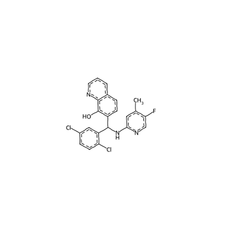 Cc1cc(NC(c2cc(Cl)ccc2Cl)c2ccc3cccnc3c2O)ncc1F